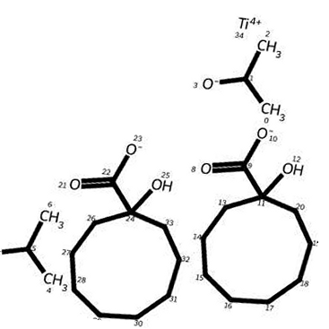 CC(C)[O-].CC(C)[O-].O=C([O-])C1(O)CCCCCCCC1.O=C([O-])C1(O)CCCCCCCC1.[Ti+4]